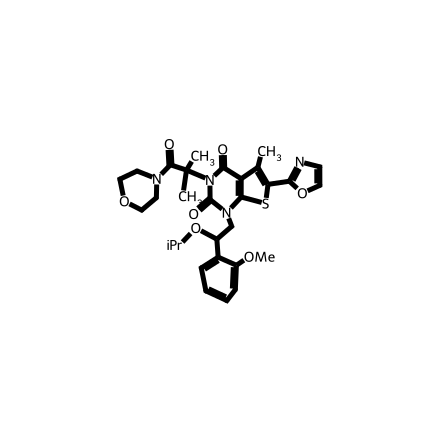 COc1ccccc1C(Cn1c(=O)n(C(C)(C)C(=O)N2CCOCC2)c(=O)c2c(C)c(-c3ncco3)sc21)OC(C)C